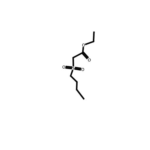 CCCCS(=O)(=O)CC(=O)OCC